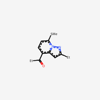 CCC(=O)c1ccc(SC)n2nc(CC)cc12